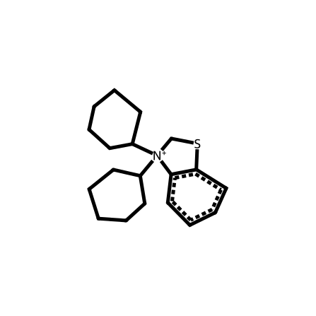 c1ccc2c(c1)SC[N+]2(C1CCCCC1)C1CCCCC1